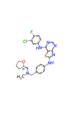 CN(Cc1ccc(Nc2nc3ncnc(Nc4ccc(F)c(Cl)c4)c3s2)cc1)C[C@H]1CCCO1